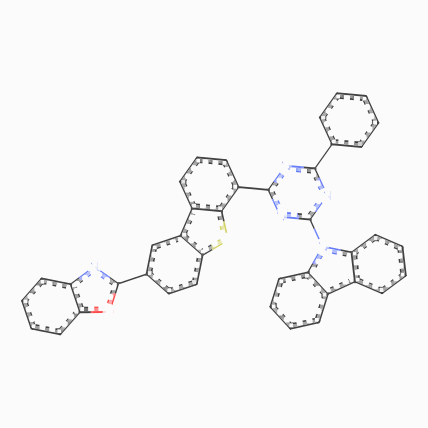 c1ccc(-c2nc(-c3cccc4c3sc3ccc(-c5nc6ccccc6o5)cc34)nc(-n3c4ccccc4c4ccccc43)n2)cc1